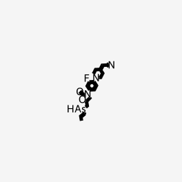 CC=C[AsH]CC1CN(c2ccc(N3CCC(=CC#N)CC3)c(F)c2)C(=O)O1